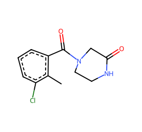 Cc1c(Cl)cccc1C(=O)N1CCNC(=O)C1